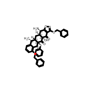 C[C@H]1c2cccc(OCc3ccccc3)c2C(=O)[C@@]2(Sc3ccccc3)C(=O)[C@]3(O)C(=O)c4c(OCc5ccccc5)noc4[C@@H](N)[C@@H]3C[C@@H]12